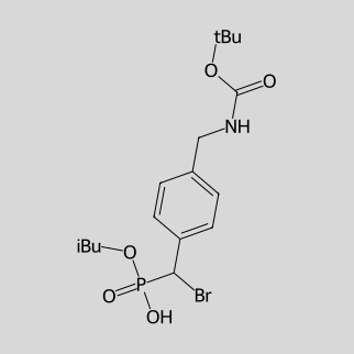 CCC(C)OP(=O)(O)C(Br)c1ccc(CNC(=O)OC(C)(C)C)cc1